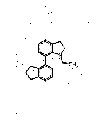 CCN1CCc2cccc(-c3cccc4c3CCC4)c21